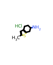 Cc1cc2c(s1)CC(N)CC2.Cl